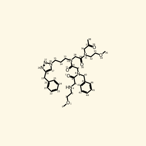 COCCNCC(=O)N(CC(=O)N(CCCn1cc(Cc2ccccc2)nn1)CC(=O)N(CCOC)CC(C)=O)Cc1ccccc1